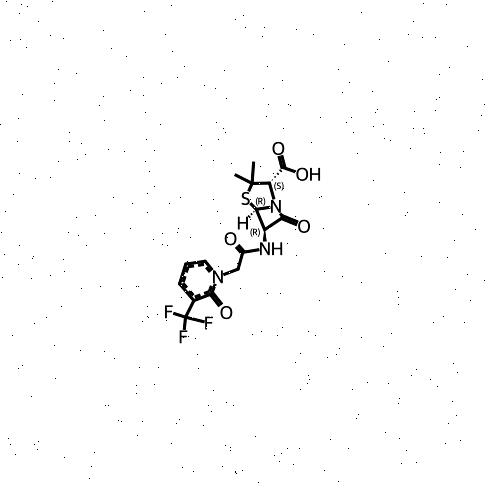 CC1(C)S[C@@H]2[C@H](NC(=O)Cn3cccc(C(F)(F)F)c3=O)C(=O)N2[C@H]1C(=O)O